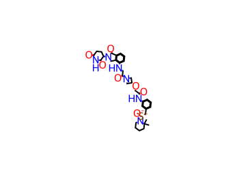 CC1(C)CCCCN1[S+]([O-])Cc1cccc(NC(=O)COC2CN(C(=O)CNc3cccc4c3CN(C3CCC(=O)NC3=O)C4=O)C2)c1